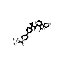 CC(C)C(=O)N1CC=C(c2ccc(C3(C(=O)c4nccc5c4C(=O)OC54CCNC4)CC3)cc2)CC1